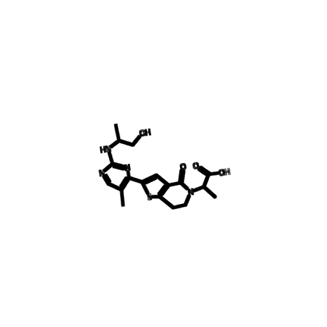 Cc1cnc(NC(C)CO)nc1-c1cc2c(s1)CCN(C(C)C(=O)O)C2=O